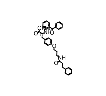 COC(=O)[C@H](Cc1ccc(OCCCNC(=O)CCc2ccccc2)cc1)Nc1ccccc1C(=O)c1ccccc1